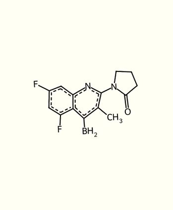 Bc1c(C)c(N2CCCC2=O)nc2cc(F)cc(F)c12